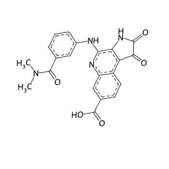 CN(C)C(=O)c1cccc(Nc2nc3cc(C(=O)O)ccc3c3c2NC(=O)C3=O)c1